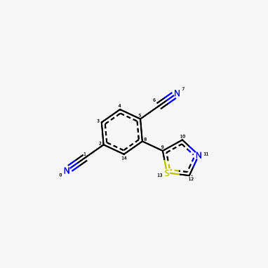 N#Cc1ccc(C#N)c(-c2cn[c]s2)c1